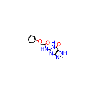 O=C(COc1ccccc1)Nc1nc2c(c(=O)[nH]1)NC=[N+]2